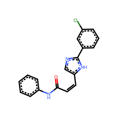 O=C(/C=C\c1cnc(-c2cccc(Cl)c2)[nH]1)Nc1ccccc1